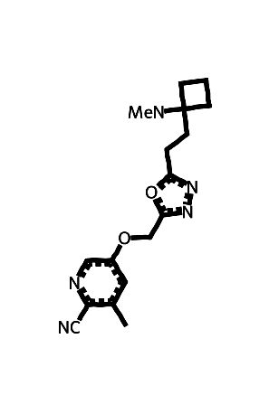 CNC1(CCc2nnc(COc3cnc(C#N)c(C)c3)o2)CCC1